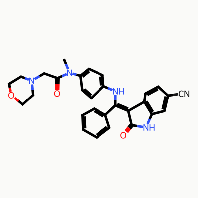 CN(C(=O)CN1CCOCC1)c1ccc(NC(=C2C(=O)Nc3cc(C#N)ccc32)c2ccccc2)cc1